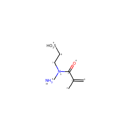 C=C(C)C(=O)N(C)CCS(=O)(=O)O.N